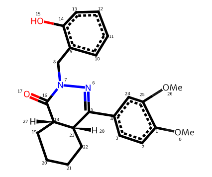 COc1ccc(C2=NN(Cc3ccccc3O)C(=O)[C@H]3CCCC[C@@H]23)cc1OC